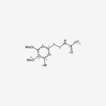 COc1cc(CCNC(=O)C(F)(F)F)cc(Br)c1OC